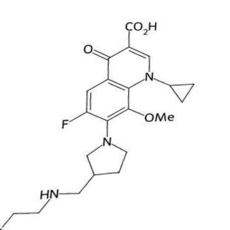 COc1c(N2CCC(CNCCC#N)C2)c(F)cc2c(=O)c(C(=O)O)cn(C3CC3)c12